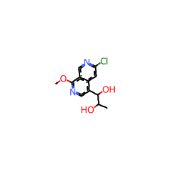 COc1ncc(C(O)C(C)O)c2cc(Cl)ncc12